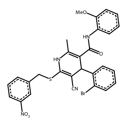 COc1ccccc1NC(=O)C1=C(C)NC(SCc2cccc([N+](=O)[O-])c2)=C(C#N)C1c1ccccc1Br